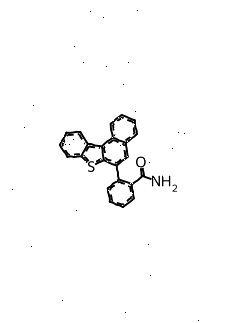 NC(=O)c1ccccc1-c1cc2ccccc2c2c1sc1ccccc12